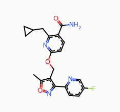 Cc1onc(-c2ccc(F)cn2)c1COc1ccc(C(N)=O)c(CC2CC2)n1